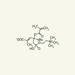 C=C(C)C(=O)OC(C=C(C)C(=O)[O-])(CCCC)CP(=O)(O)OCC[N+](C)(C)C